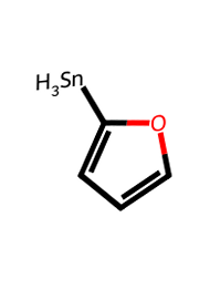 [SnH3][c]1ccco1